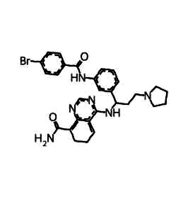 NC(=O)C1=c2ncnc(NC(CCN3CCCC3)c3cccc(NC(=O)c4ccc(Br)cc4)c3)c2=CCC1